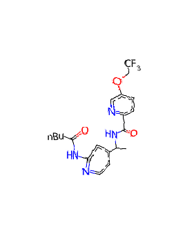 CCCCC(=O)Nc1cc(C(C)NC(=O)c2ccc(OCC(F)(F)F)cn2)ccn1